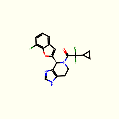 O=C(N1CCc2[nH]cnc2[C@H]1c1cc2cccc(F)c2o1)C(F)(F)C1CC1